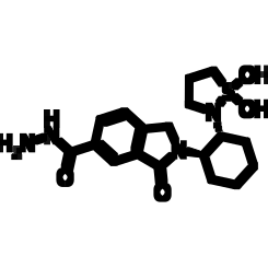 NNC(=O)c1ccc2c(c1)C(=O)N([C@@H]1CCCC[C@H]1N1CCCS1(O)O)C2